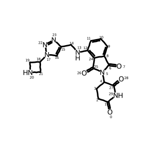 O=C1CCC(N2C(=O)c3cccc(NCc4cn(C5CNC5)nn4)c3C2=O)C(=O)N1